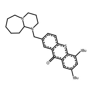 CC(C)(C)c1cc(C(C)(C)C)c2sc3ccc(CN4CCCN5CCCCCC54)cc3c(=O)c2c1